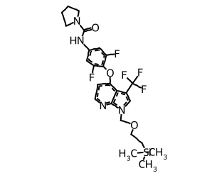 C[Si](C)(C)CCOCn1cc(C(F)(F)F)c2c(Oc3c(F)cc(NC(=O)N4CCCC4)cc3F)ccnc21